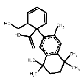 Cc1cc2c(cc1C1(C(=O)O)C=CC=CC1CO)C(C)(C)CCC2(C)C